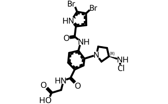 O=C(O)CNC(=O)c1ccc(NC(=O)c2cc(Br)c(Br)[nH]2)c(N2CC[C@@H](NCl)C2)c1